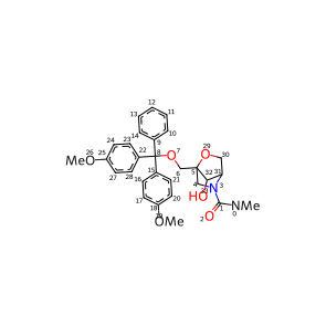 CNC(=O)N1CC2(COC(c3ccccc3)(c3ccc(OC)cc3)c3ccc(OC)cc3)OCC1C2O